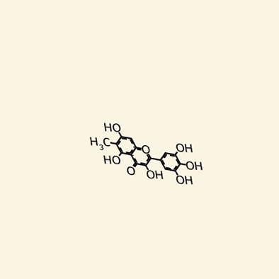 Cc1c(O)cc2oc(-c3cc(O)c(O)c(O)c3)c(O)c(=O)c2c1O